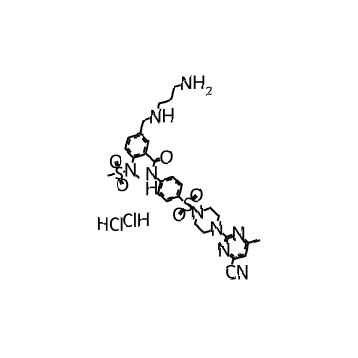 Cc1cc(C#N)nc(N2CCN(S(=O)(=O)c3ccc(NC(=O)c4cc(CNCCCN)ccc4N(C)S(C)(=O)=O)cc3)CC2)n1.Cl.Cl